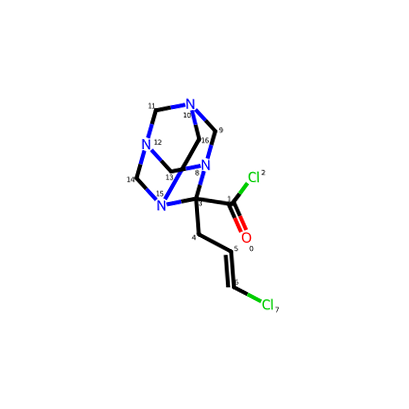 O=C(Cl)C1(CC=CCl)N2CN3CN(C2)CN1C3